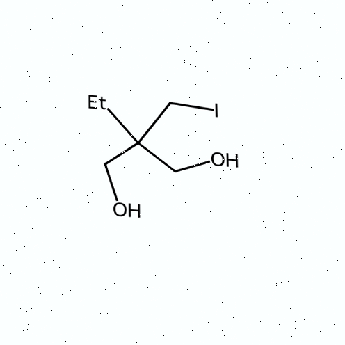 CCC(CO)(CO)CI